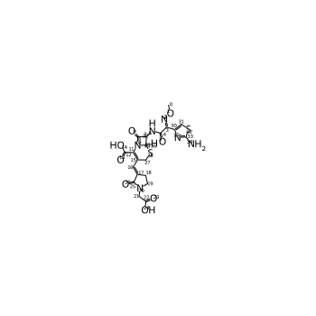 CON=C(C(=O)N[C@@H]1C(=O)N2C(C(=O)O)=C(C=C3CCN(CC(=O)O)C3=O)CS[C@H]12)c1csc(N)n1